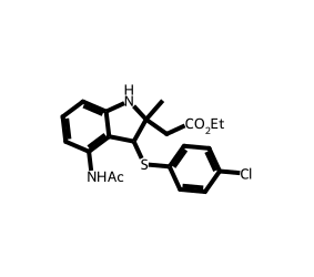 CCOC(=O)CC1(C)Nc2cccc(NC(C)=O)c2C1Sc1ccc(Cl)cc1